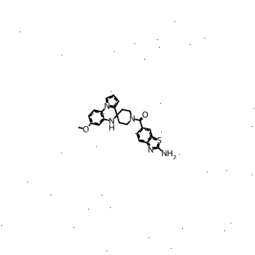 COc1ccc2c(c1)NC1(CCN(C(=O)c3ccc4nc(N)sc4c3)CC1)c1cccn1-2